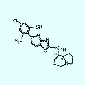 Cc1cc(Cl)cc(O)c1-c1ccc2oc(N[C@H]3CCCN4CCC[C@H]34)nc2n1